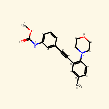 CC(C)(C)OC(=O)Nc1cccc(C#Cc2cc([N+](=O)[O-])ccc2N2CCOCC2)c1